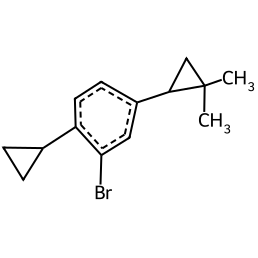 CC1(C)CC1c1ccc(C2CC2)c(Br)c1